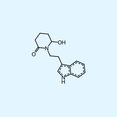 O=C1CCCC(O)N1CCc1c[nH]c2ccccc12